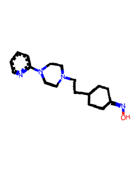 ON=C1CCC(CCN2CCN(c3ccccn3)CC2)CC1